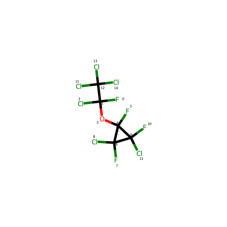 FC(Cl)(OC1(F)C(F)(Cl)C1(F)Cl)C(Cl)(Cl)Cl